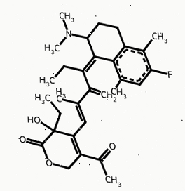 C=C(/C(C)=C/C1=C(C(C)=O)COC(=O)C1(O)CC)/C(CC)=C1\c2c(C)cc(F)c(C)c2CCC1N(C)C